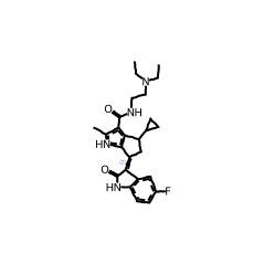 CCN(CC)CCNC(=O)c1c(C)[nH]c2c1C(C1CC1)C/C2=C1/C(=O)Nc2ccc(F)cc21